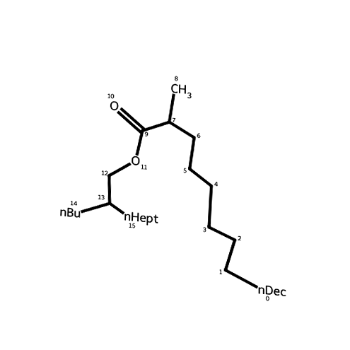 CCCCCCCCCCCCCCCCC(C)C(=O)OCC(CCCC)CCCCCCC